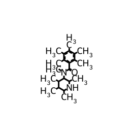 Cc1c(C)c(C)c(C(=O)N(C)C2C(C)NC(C)C(C)C2C)c(C)c1C